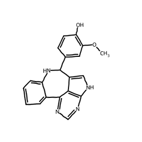 COc1cc(C2Nc3ccccc3-c3ncnc4[nH]cc2c34)ccc1O